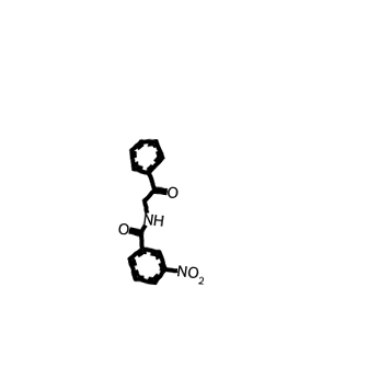 O=C(CNC(=O)c1cccc([N+](=O)[O-])c1)c1ccccc1